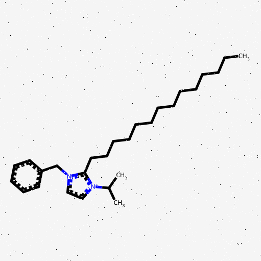 CCCCCCCCCCCCCCc1n(Cc2ccccc2)cc[n+]1C(C)C